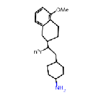 CCCC(CC1CCC(N)CC1)C1CCc2c(cccc2OC)C1